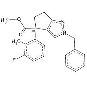 COC(=O)[C@@]1(c2cccc(F)c2C)CCc2nn(Cc3ccccc3)cc21